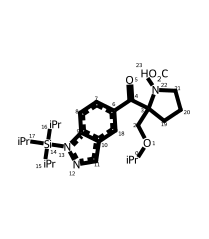 CC(C)OCC1(C(=O)c2ccc3c(cnn3[Si](C(C)C)(C(C)C)C(C)C)c2)CCCN1C(=O)O